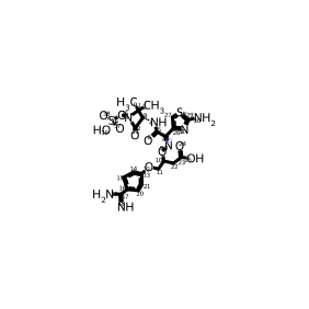 CC1(C)[C@H](NC(=O)/C(=N\OC(COc2ccc(C(=N)N)cc2)CC(=O)O)c2csc(N)n2)C(=O)N1OS(=O)(=O)O